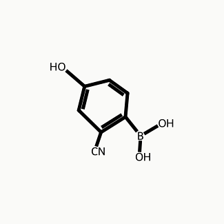 N#Cc1cc(O)ccc1B(O)O